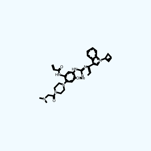 C=CC(=O)Nc1cc(N/C(N=C)=N/C(=C\C)c2cn(C34CC(C3)C4)c3ccccc23)c(OC)cc1N1CCN(C(=O)CN(C)C)CC1